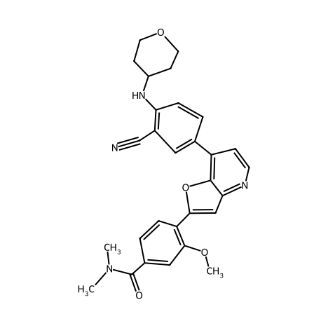 COc1cc(C(=O)N(C)C)ccc1-c1cc2nccc(-c3ccc(NC4CCOCC4)c(C#N)c3)c2o1